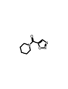 O=C(c1cnno1)N1CCCCC1